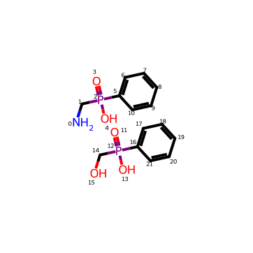 NCP(=O)(O)c1ccccc1.O=P(O)(CO)c1ccccc1